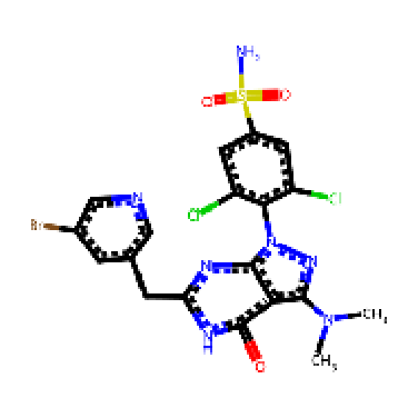 CN(C)c1nn(-c2c(Cl)cc(S(N)(=O)=O)cc2Cl)c2nc(Cc3cncc(Br)c3)[nH]c(=O)c12